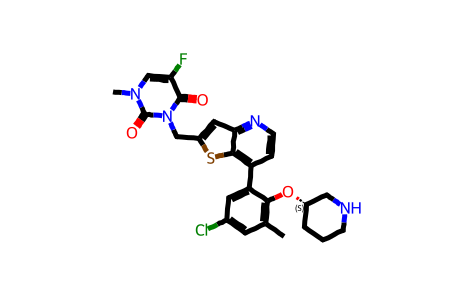 Cc1cc(Cl)cc(-c2ccnc3cc(Cn4c(=O)c(F)cn(C)c4=O)sc23)c1O[C@H]1CCCNC1